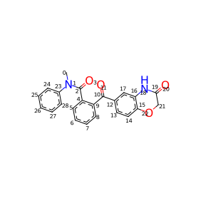 CN(C(=O)c1ccccc1C(=O)c1ccc2c(c1)NC(=O)CO2)c1ccccc1